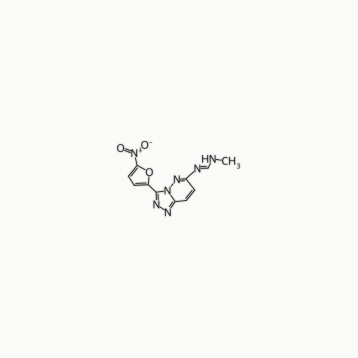 CNC=Nc1ccc2nnc(-c3ccc([N+](=O)[O-])o3)n2n1